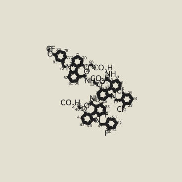 NC(=O)c1cccc2c1c1c(OCC(=O)O)cccc1n2Cc1c(Cl)cccc1Cl.NC(=O)c1cccc2c1c1c(OCC(=O)O)cccc1n2Cc1c(F)cccc1F.NC(=O)c1cccc2c1c1c(OCC(=O)O)cccc1n2Cc1cccc(OC(F)(F)F)c1